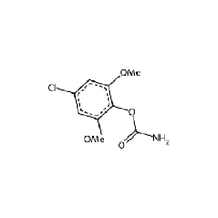 COc1cc(Cl)cc(OC)c1OC(N)=O